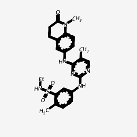 CCNS(=O)(=O)c1cc(Nc2ncc(C)c(Nc3ccc4c(c3)CCC(=O)N4C)n2)ccc1C